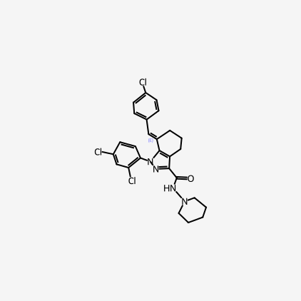 O=C(NN1CCCCC1)c1nn(-c2ccc(Cl)cc2Cl)c2c1CCC/C2=C\c1ccc(Cl)cc1